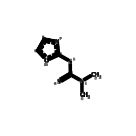 CN(C)C(=S)Sc1ncco1